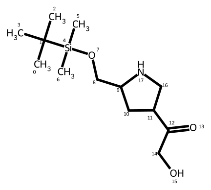 CC(C)(C)[Si](C)(C)OCC1CC(C(=O)CO)CN1